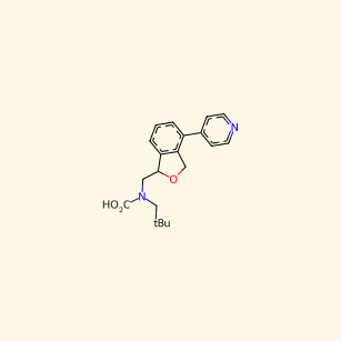 CC(C)(C)CN(CC1OCc2c(-c3ccncc3)cccc21)C(=O)O